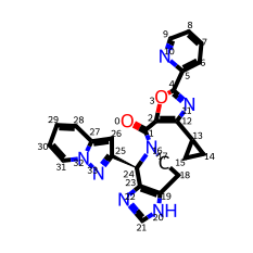 O=C(c1oc(-c2ccccn2)nc1C1CC1)N1CCc2[nH]cnc2[C@H]1c1cc2ccccn2n1